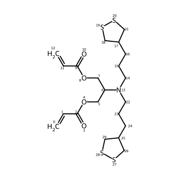 C=CC(=O)OCC(COC(=O)C=C)N(CCCC1CSSC1)CCCC1CSSC1